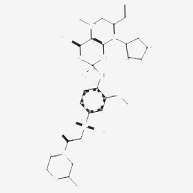 CCC1CN(C)C2=C(N[C@](N)(Nc3ccc(S(=O)(=O)CC(=O)N4CCNC(C)C4)cc3OC)NC2=O)N1C1CCCC1